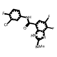 CNc1nc2c(F)c(F)cc(C(=O)Nc3ccc(F)c(Cl)c3)c2[nH]1